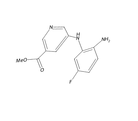 COC(=O)c1cncc(Nc2cc(F)ccc2N)c1